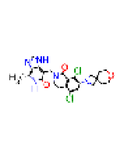 Cc1[nH]c(=O)c(CN2CCc3c(Cl)cc(N4CC5(CCOCC5)C4)c(Cl)c3C2=O)c2[nH]cnc12